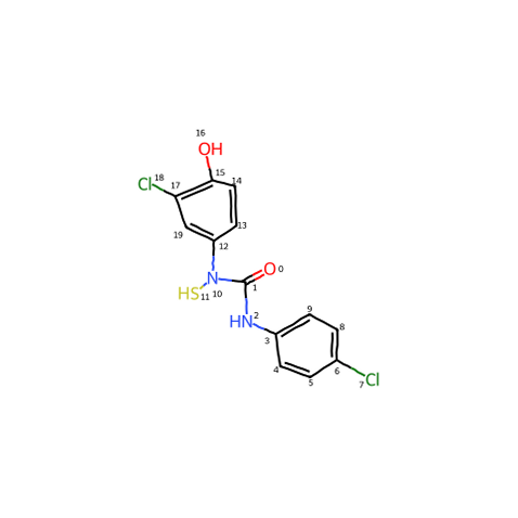 O=C(Nc1ccc(Cl)cc1)N(S)c1ccc(O)c(Cl)c1